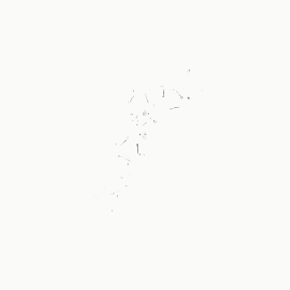 CCN(CC)CCOc1cccc(Nc2nc3cccc(-c4ccc5c(c4)CCCCO5)n3n2)c1